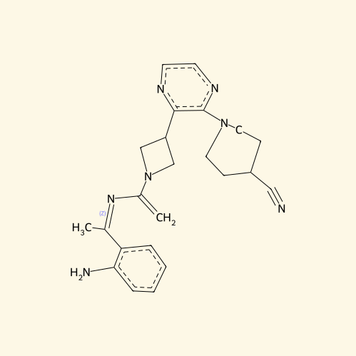 C=C(/N=C(/C)c1ccccc1N)N1CC(c2nccnc2N2CCC(C#N)CC2)C1